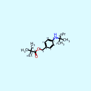 CCCC(C)(C)Nc1ccc(COC(=O)C(C)(C)CC)cc1